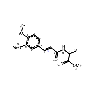 CCOc1ccc(/C=C/C(=O)NC(C)C(=O)OC)cc1OC